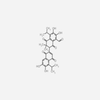 CC(C)c1c(O)c(O)cc2c1C(=O)C=C(C1C(=O)c3c(C=O)c(O)c(O)c(C(C)C)c3C(=O)C1(C)C)C2=O